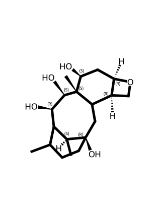 CC1CC[C@@]2(O)CC3[C@@H]4CO[C@@H]4C[C@H](O)[C@@]3(C)[C@H](O)[C@H](O)C1[C@@H]2C